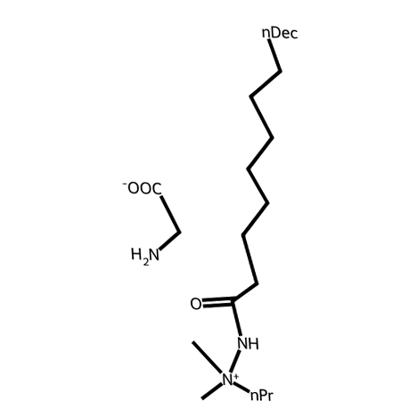 CCCCCCCCCCCCCCCCCC(=O)N[N+](C)(C)CCC.NCC(=O)[O-]